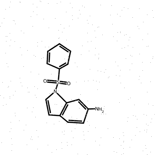 Nc1ccc2ccn(S(=O)(=O)c3ccccc3)c2c1